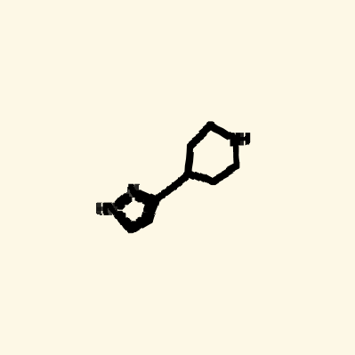 c1cc(C2CCNCC2)n[nH]1